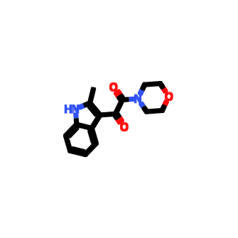 Cc1[nH]c2ccccc2c1C(=O)C(=O)N1CCOCC1